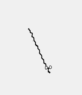 C=CC(=O)OCCCCCCCCC=CC[CH]CCCCCC